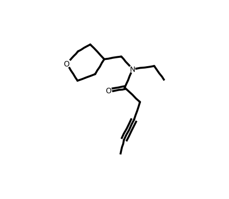 CC#CCC(=O)N(CC)CC1CCOCC1